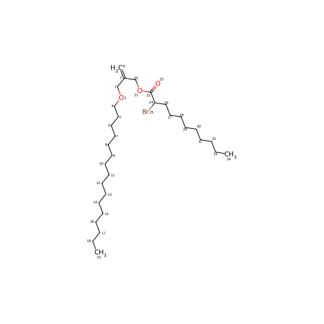 C=C(COCCCCCCCCCCCCCCCC)COC(=O)C(Br)CCCCCCCCC